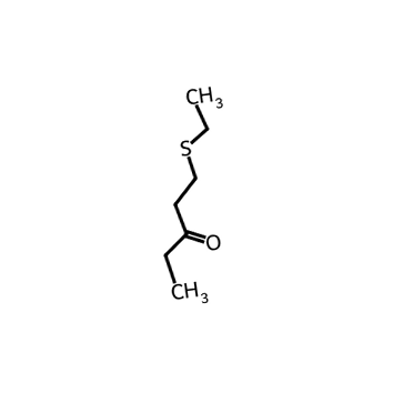 CCSCCC(=O)CC